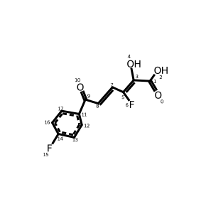 O=C(O)/C(O)=C(F)/C=C/C(=O)c1ccc(F)cc1